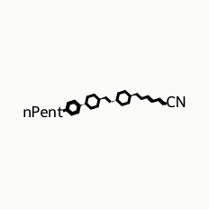 CCCCCc1ccc([C@H]2CC[C@H](CC[C@H]3CC[C@H](CCC=CC=CC#N)CC3)CC2)cc1